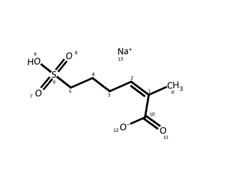 CC(=CCCCS(=O)(=O)O)C(=O)[O-].[Na+]